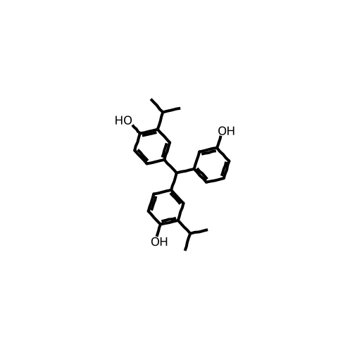 CC(C)c1cc(C(c2cccc(O)c2)c2ccc(O)c(C(C)C)c2)ccc1O